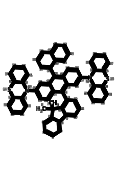 CC1(C)c2ccccc2-c2cccc(-c3c4cc(N5c6ccccc6Sc6ccccc65)ccc4c(-c4cccc5ccccc45)c4cc(N5c6ccccc6Sc6ccccc65)ccc34)c21